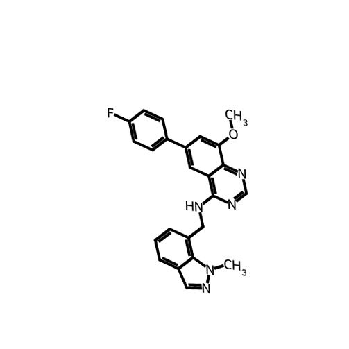 COc1cc(-c2ccc(F)cc2)cc2c(NCc3cccc4cnn(C)c34)ncnc12